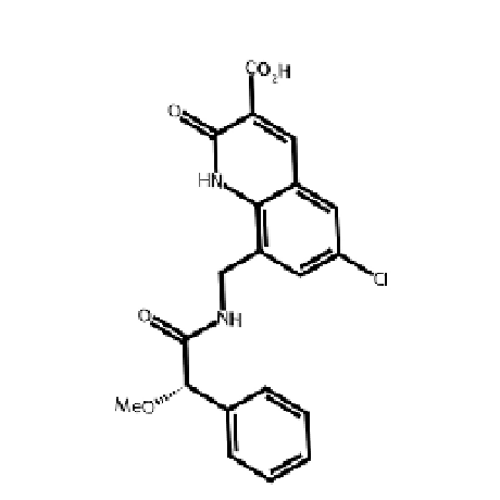 CO[C@H](C(=O)NCc1cc(Cl)cc2cc(C(=O)O)c(=O)[nH]c12)c1ccccc1